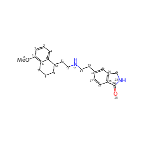 COc1cccc2c1CCCC2CCNCCc1ccc2c(c1)CNC2=O